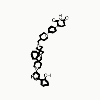 O=C1CC[C@H](c2ccc(N3CCC(CN4CC5(C4)CN(CC4(c6ccccc6)CCN(c6cnnc(-c7ccccc7O)c6)CC4)C5)CC3)cc2)C(=O)N1